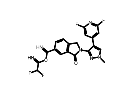 Cn1cc(-c2cc(F)nc(F)c2)c(N2Cc3ccc(C(=N)OC(=N)C(F)F)cc3C2=O)n1